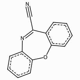 N#CC1=Nc2ccccc2Oc2ccccc21